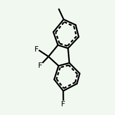 Cc1ccc2c(c1)C(F)(F)c1cc(F)ccc1-2